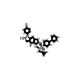 C[C@H]1C2=CNN(c3ccc(F)cc3)C2=CC2=C1[C@@H](CN(CC1CC1)S(=O)(=O)c1ccc(-c3ccccc3)cc1)CC2